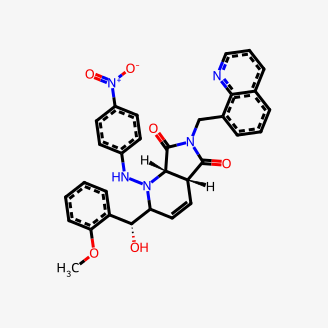 COc1ccccc1[C@@H](O)C1C=C[C@H]2C(=O)N(Cc3cccc4cccnc34)C(=O)[C@H]2N1Nc1ccc([N+](=O)[O-])cc1